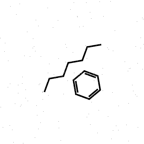 [CH2]CCCCCC.c1ccccc1